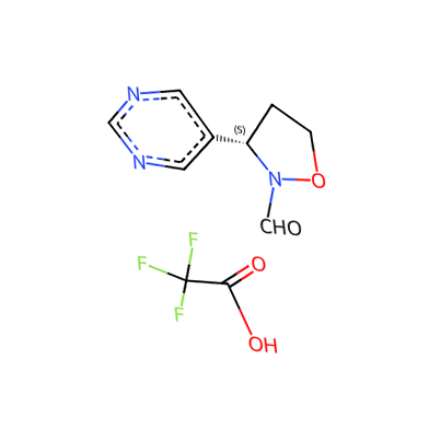 O=C(O)C(F)(F)F.O=CN1OCC[C@H]1c1cncnc1